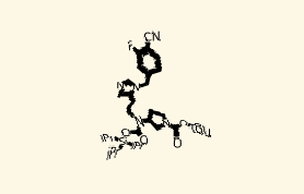 CC(C)[Si](OC(=O)N(CCc1cncn1Cc1ccc(C#N)c(F)c1)C1CCN(C(=O)OC(C)(C)C)C1)(C(C)C)C(C)C